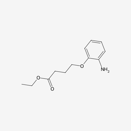 CCOC(=O)CCCOc1ccccc1N